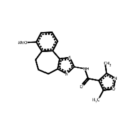 COc1cccc2c1CCCc1nc(NC(=O)c3c(C)noc3C)sc1-2